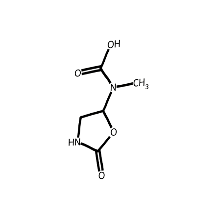 CN(C(=O)O)C1CNC(=O)O1